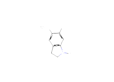 COc1cc2c(cc1C(F)(F)F)N(C(C)=O)CC2